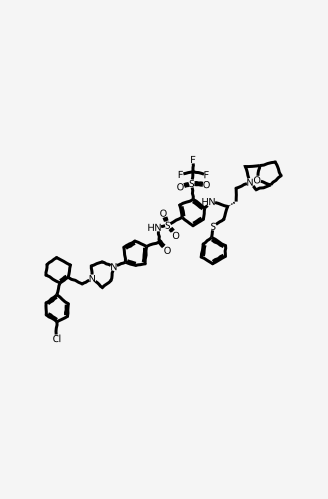 O=C(NS(=O)(=O)c1ccc(N[C@H](CCN2CC3CCC(C2)O3)CSc2ccccc2)c(S(=O)(=O)C(F)(F)F)c1)c1ccc(N2CCN(CC3=C(c4ccc(Cl)cc4)CCCC3)CC2)cc1